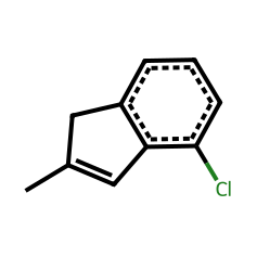 CC1=Cc2c(Cl)cccc2C1